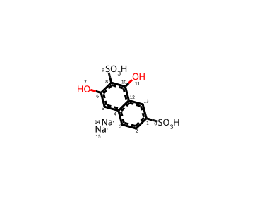 O=S(=O)(O)c1ccc2cc(O)c(S(=O)(=O)O)c(O)c2c1.[Na].[Na]